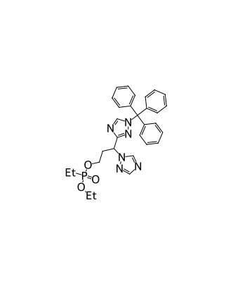 CCOP(=O)(CC)OCCC(c1ncn(C(c2ccccc2)(c2ccccc2)c2ccccc2)n1)n1cncn1